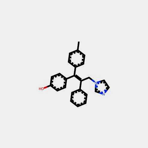 Cc1ccc(/C(=C(\Cn2ccnc2)c2ccccc2)c2ccc(O)cc2)cc1